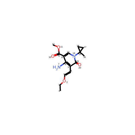 CCOC=Cc1c(N)c(C(=O)OC)cn(C2(C)CC2)c1=O